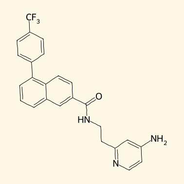 Nc1ccnc(CCNC(=O)c2ccc3c(-c4ccc(C(F)(F)F)cc4)cccc3c2)c1